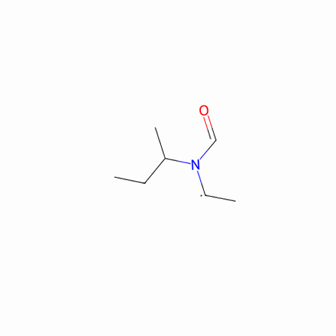 C[CH]N(C=O)C(C)CC